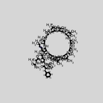 C=C/C=C/[C@@H](C)[C@@H](OC(=O)C1C[C@@H](NC(=O)[C@H](Cc2ccccc2)NS(C)(=O)=O)CN1C(=O)[C@@H](C)NC(N)=O)[C@H]1C(=O)N[C@@H](CC)C(=O)N(C)CC(=O)N(C)[C@@H](CC(C)C)C(=O)NC(C(C)C)C(=O)N(C)[C@@H](CC(C)C)C(=O)N[C@@H](C)C(=O)N[C@H](C)C(=O)N(C)[C@@H](CC(C)C)C(=O)N(C)[C@@H](CC(C)C)C(=O)N(C)[C@@H](C(C)C)C(=O)N1C